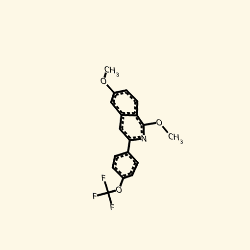 COc1ccc2c(OC)nc(-c3ccc(OC(F)(F)F)cc3)cc2c1